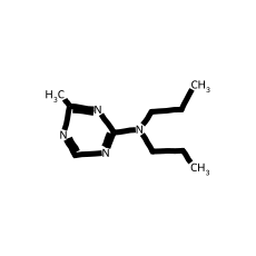 CCCN(CCC)c1ncnc(C)n1